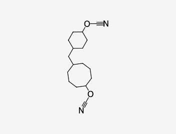 N#COC1CCCC(CC2CCC(OC#N)CC2)CCC1